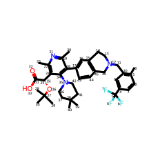 Cc1ccc(C(F)(F)F)cc1CN1CCc2cc(-c3c(C)nc(C)c([C@H](OC(C)(C)C)C(=O)O)c3N3CCC(C)(C)CC3)ccc2C1